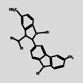 CCCN1c2ccc(C(=O)O)cc2N(N(CC)CC)C1c1ccc2c(c1)c1cc(C)ccc1n2CC